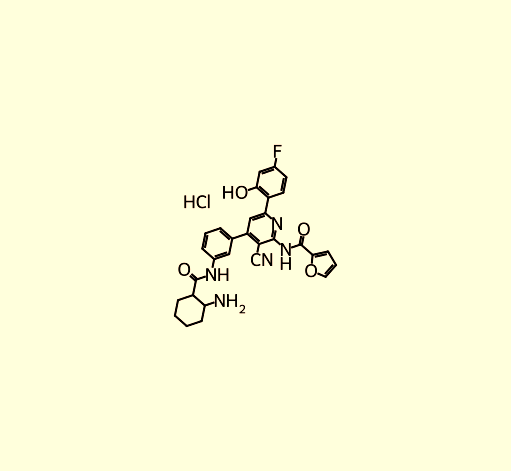 Cl.N#Cc1c(-c2cccc(NC(=O)C3CCCCC3N)c2)cc(-c2ccc(F)cc2O)nc1NC(=O)c1ccco1